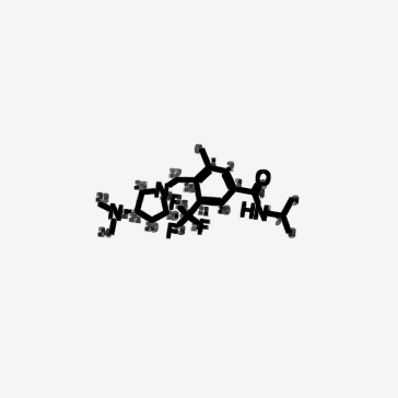 Cc1cc(C(=O)NC(C)C)cc(C(F)(F)F)c1CN1CC[C@H](N(C)C)C1